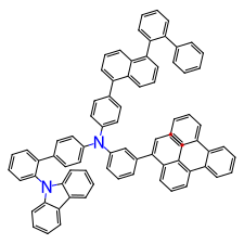 c1ccc(-c2ccccc2-c2cccc3c(-c4ccc(N(c5ccc(-c6ccccc6-n6c7ccccc7c7ccccc76)cc5)c5cccc(-c6cccc7c(-c8ccccc8-c8ccccc8)cccc67)c5)cc4)cccc23)cc1